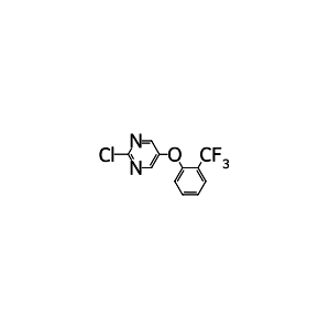 FC(F)(F)c1ccccc1Oc1cnc(Cl)nc1